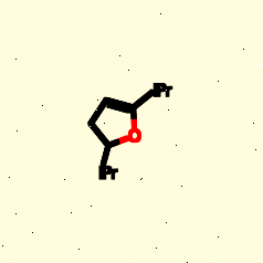 CC(C)C1=CCC(C(C)C)O1